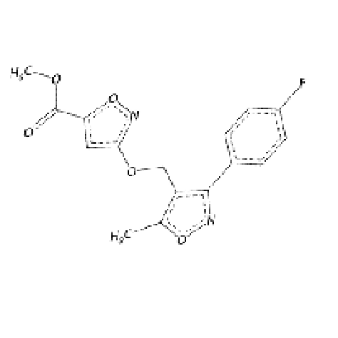 COC(=O)c1cc(OCc2c(-c3ccc(F)cc3)noc2C)no1